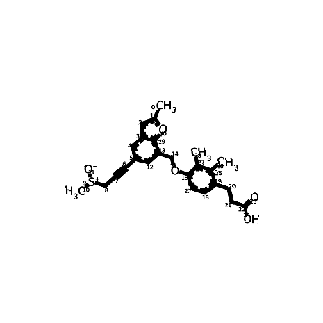 Cc1cc2cc(C#CC[S+](C)[O-])cc(COc3ccc(CCC(=O)O)c(C)c3C)c2o1